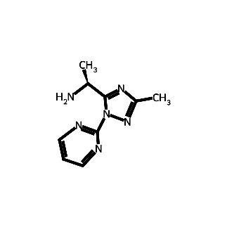 Cc1nc([C@H](C)N)n(-c2ncccn2)n1